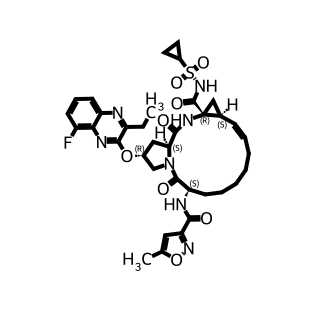 CCc1nc2cccc(F)c2nc1O[C@@H]1C[C@H]2C(=O)N[C@]3(C(=O)NS(=O)(=O)C4CC4)C[C@H]3C=CCCCCC[C@H](NC(=O)c3cc(C)on3)C(=O)N2C1